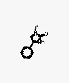 CC(C)n1cc(-c2ccccc2)[nH]c1=O